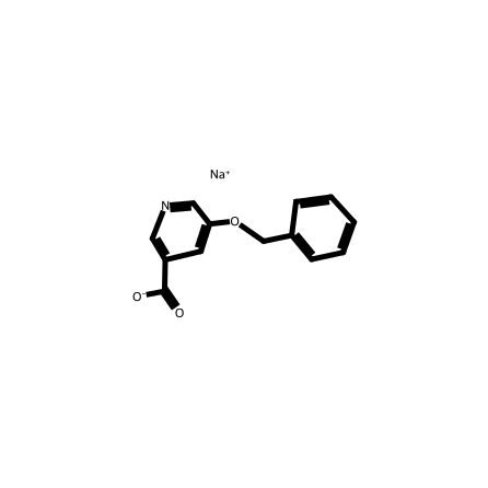 O=C([O-])c1cncc(OCc2ccccc2)c1.[Na+]